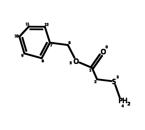 O=C(CSP)OCc1ccccc1